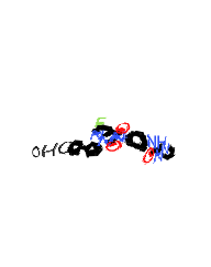 O=Cc1ccc(-c2cccc(-n3c(=O)n(C4CCC(NC(=O)c5cn6c(n5)CCCC6)CC4)c(=O)c4cc(F)cnc43)c2)cc1